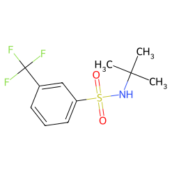 CC(C)(C)NS(=O)(=O)c1cccc(C(F)(F)F)c1